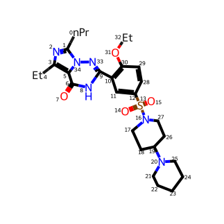 CCCc1nc(CC)c2c(=O)[nH]c(-c3cc(S(=O)(=O)N4CCC(N5CCCCC5)CC4)ccc3OCC)nn12